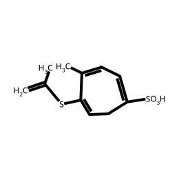 C=C(C)SC1=CCC(S(=O)(=O)O)=CC=C1C